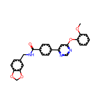 COc1ccccc1Oc1cc(-c2ccc(C(=O)NCc3ccc4c(c3)OCO4)cc2)ncn1